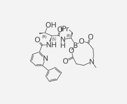 CC(C)C[C@H](NC(=O)[C@@H](NC(=O)c1cccc(-c2ccccc2)n1)[C@@H](C)O)B1OC(=O)CCN(C)CCC(=O)O1